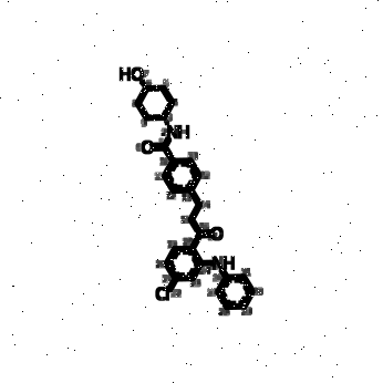 O=C(N[C@H]1CC[C@H](O)CC1)c1ccc(CCC(=O)c2ccc(Cl)cc2Nc2ccccc2)cc1